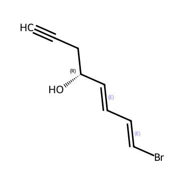 C#CC[C@@H](O)/C=C/C=C/Br